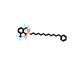 O=C(c1c(C(F)(F)F)cccc1C(F)(F)F)[PH](=O)CCCCCCCCCCCCc1ccccc1